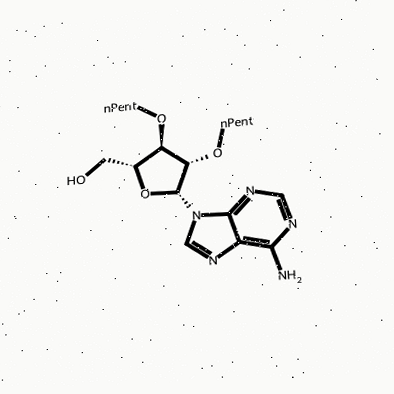 CCCCCO[C@H]1[C@H](OCCCCC)[C@@H](CO)O[C@H]1n1cnc2c(N)ncnc21